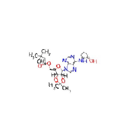 CC(C)(C)CC(=O)OC[C@H]1OC(n2cnc3c(N[C@H]4CCC[C@@H]4O)ncnc32)[C@@H]2OC(C)(C)O[C@H]12